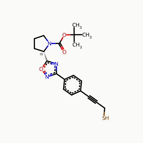 CC(C)(C)OC(=O)N1CCC[C@H]1c1nc(-c2ccc(C#CCS)cc2)no1